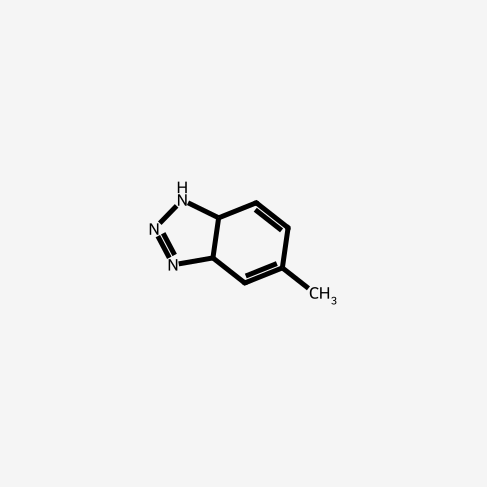 CC1=CC2N=NNC2C=C1